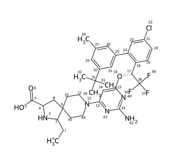 CCC1NC(C(=O)O)CC12CCN(c1cc(O[C@H](c3ccc(Cl)cc3-c3cc(C)cc(C(C)(C)C)c3)C(F)(F)F)nc(N)n1)CC2